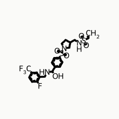 C=CS(=O)(=O)NCC1CCN(S(=O)(=O)c2ccc(C(O)NCc3cc(C(F)(F)F)ccc3F)cc2)C1